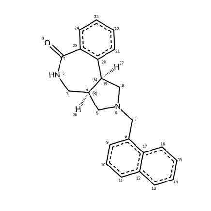 O=C1NC[C@@H]2CN(Cc3cccc4ccccc34)C[C@@H]2c2ccccc21